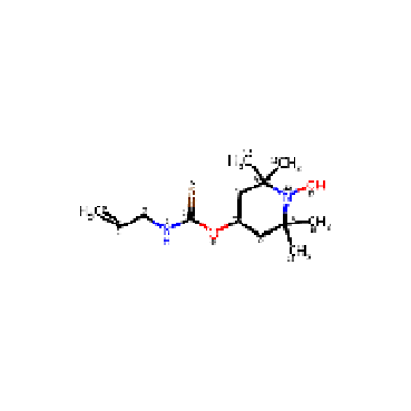 C=CCNC(=S)OC1CC(C)(C)N(O)C(C)(C)C1